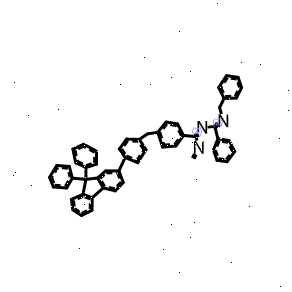 C=N/C(=N\C(=N/Cc1ccccc1)c1ccccc1)c1ccc(Cc2ccc(-c3ccc4c(c3)C(c3ccccc3)(c3ccccc3)c3ccccc3-4)cc2)cc1